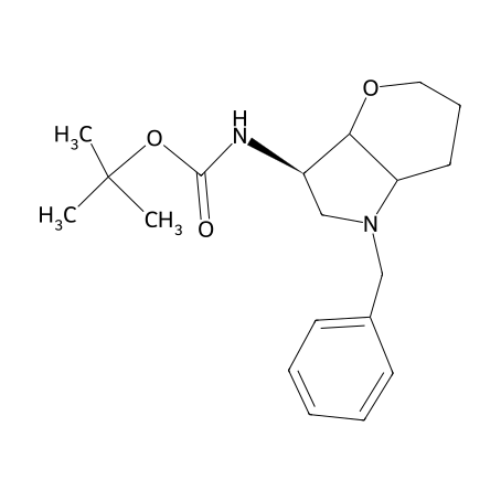 CC(C)(C)OC(=O)N[C@@H]1CN(Cc2ccccc2)C2CCCOC21